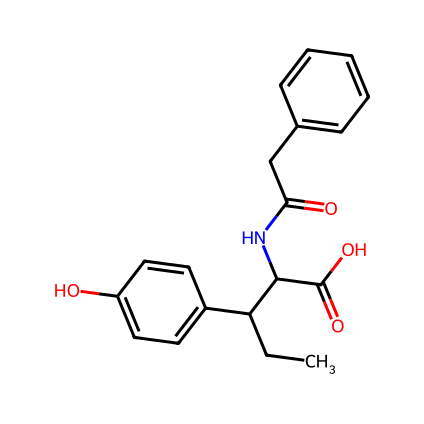 CCC(c1ccc(O)cc1)C(NC(=O)Cc1ccccc1)C(=O)O